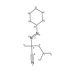 CC(C)CC(C)(C#N)/N=N/C1CCCCC1